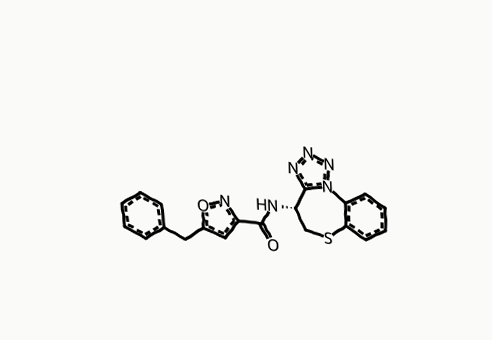 O=C(N[C@H]1CSc2ccccc2-n2nnnc21)c1cc(Cc2ccccc2)on1